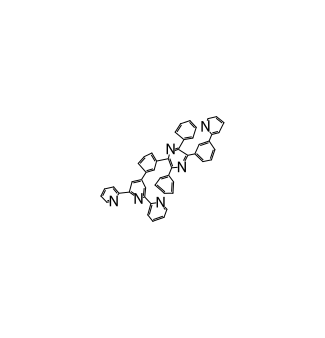 c1ccc(-c2nc(-c3cccc(-c4ccccn4)c3)c(-c3ccccc3)nc2-c2cccc(-c3cc(-c4ccccn4)nc(-c4ccccn4)c3)c2)cc1